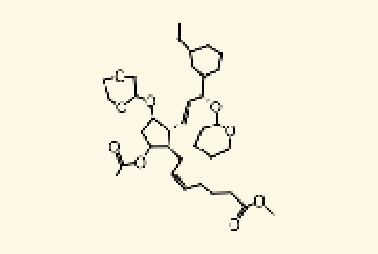 CCC1CCCC([C@@H](/C=C/[C@@H]2[C@@H](C/C=C\CCCC(=O)OC)[C@@H](OC(C)=O)C[C@H]2OC2CCCCO2)OC2CCCCO2)C1